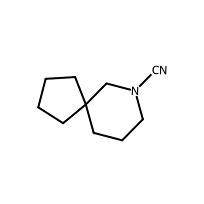 N#CN1CCCC2(CCCC2)C1